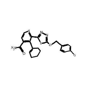 NC(=O)c1ccnc(-c2nnc(OCc3ccc(Cl)cc3)s2)c1C1=CCCCC1